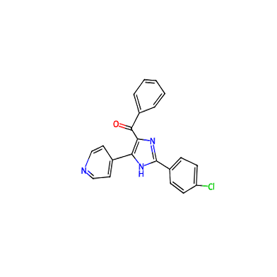 O=C(c1ccccc1)c1nc(-c2ccc(Cl)cc2)[nH]c1-c1ccncc1